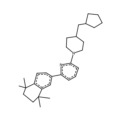 CC1(C)CCC(C)(C)c2cc(-c3cccc(N4CCC(CC5CCCC5)CC4)n3)ccc21